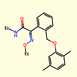 CCNC(=O)C(=NOCC)c1ccccc1COc1cc(C)ccc1C